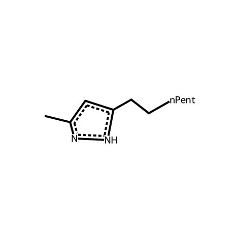 CCCCCCCc1cc(C)n[nH]1